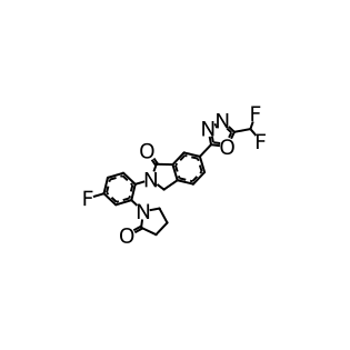 O=C1CCCN1c1cc(F)ccc1N1Cc2ccc(-c3nnc(C(F)F)o3)cc2C1=O